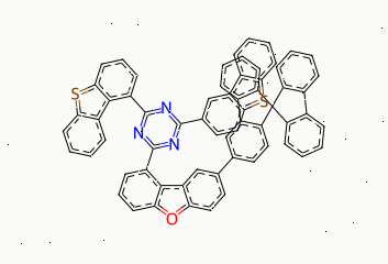 c1ccc2c(c1)-c1ccccc1C21c2ccccc2-c2cc(-c3ccc4oc5cccc(-c6nc(-c7ccc8sc9ccccc9c8c7)nc(-c7cccc8sc9ccccc9c78)n6)c5c4c3)ccc21